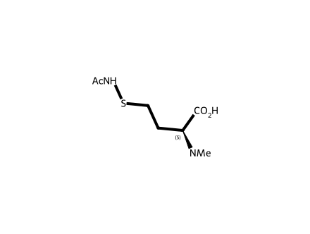 CN[C@@H](CCSNC(C)=O)C(=O)O